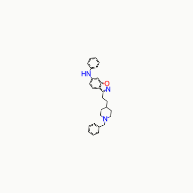 c1ccc(CN2CCC(CCc3noc4cc(Nc5ccccc5)ccc34)CC2)cc1